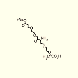 CC(C)(C)OC(=O)CCOCCOCC(=O)C(N)CCOCCOC(N)C(=O)O